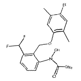 CCc1cc(C)c(OCc2c(C(F)F)cccc2N(O)C(=O)OC)cc1C